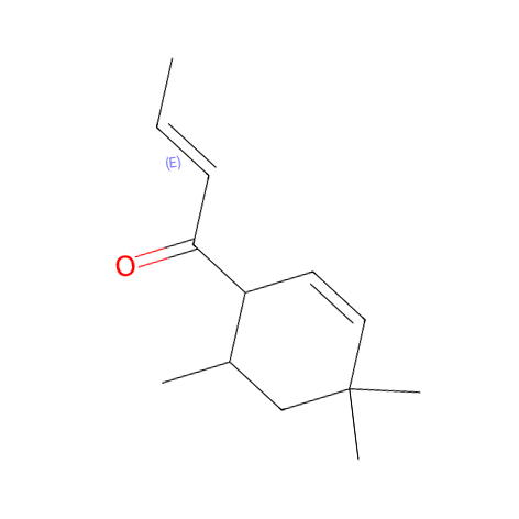 C/C=C/C(=O)C1C=CC(C)(C)CC1C